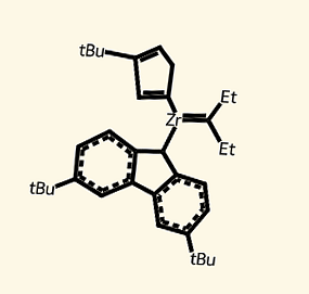 CC[C](CC)=[Zr]([C]1=CC(C(C)(C)C)=CC1)[CH]1c2ccc(C(C)(C)C)cc2-c2cc(C(C)(C)C)ccc21